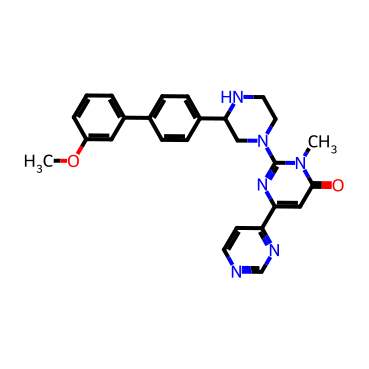 COc1cccc(-c2ccc(C3CN(c4nc(-c5ccncn5)cc(=O)n4C)CCN3)cc2)c1